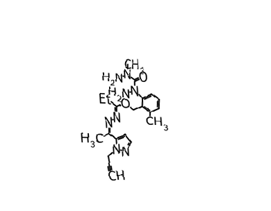 C#CCn1nccc1C(C)=NN=C(CC)OCc1c(C)cccc1N(N)C(=O)N(C)N